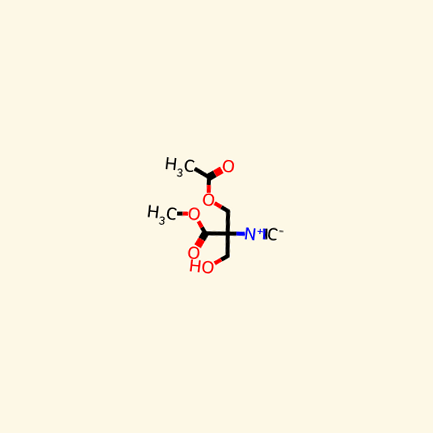 [C-]#[N+]C(CO)(COC(C)=O)C(=O)OC